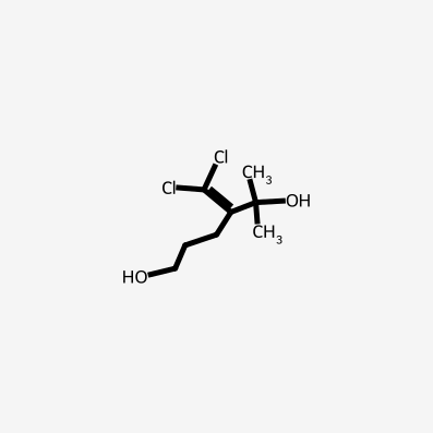 CC(C)(O)C(CCCO)=C(Cl)Cl